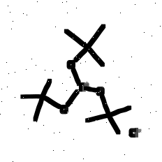 CC(C)(C)[O][Ti+]([O]C(C)(C)C)[O]C(C)(C)C.[Cl-]